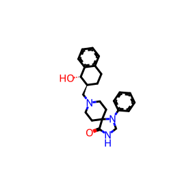 O=C1NCN(c2ccccc2)C12CCN(C[C@@H]1CCc3ccccc3[C@H]1O)CC2